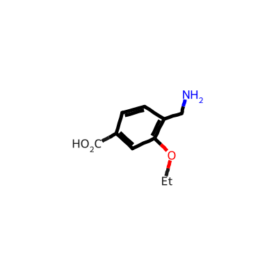 CCOc1cc(C(=O)O)ccc1CN